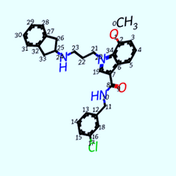 COc1cccc2c(C(=O)NCc3cccc(Cl)c3)cn(CCCNC3Cc4ccccc4C3)c12